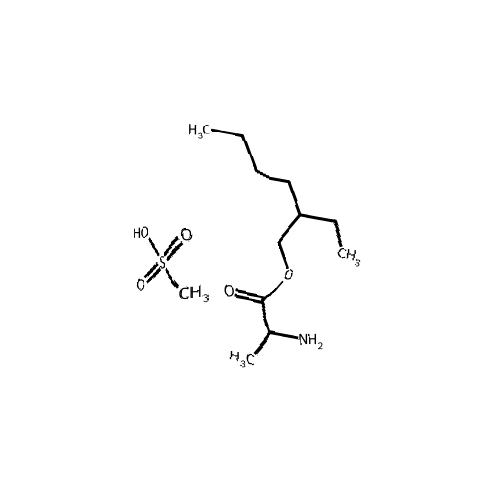 CCCCC(CC)COC(=O)C(C)N.CS(=O)(=O)O